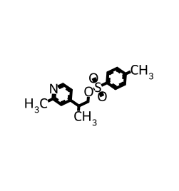 Cc1ccc(S(=O)(=O)OCC(C)c2ccnc(C)c2)cc1